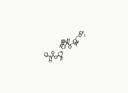 Cn1nc(COC(F)(F)F)cc1C(=O)Nc1cc([C@@H]2C[C@@H](F)[C@H](OC(=O)NC3CC4CC3C4)C2)nn1C(C)(C)C